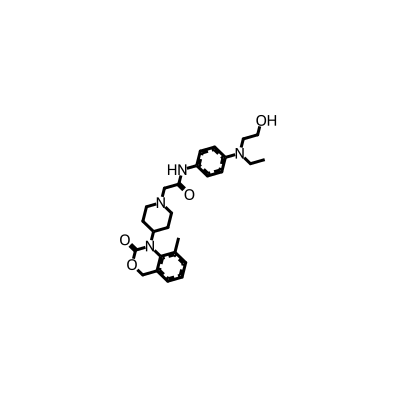 CCN(CCO)c1ccc(NC(=O)CN2CCC(N3C(=O)OCc4cccc(C)c43)CC2)cc1